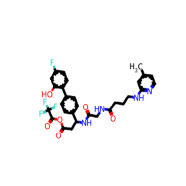 Cc1ccnc(NCCCC(=O)NCC(=O)NC(CC(=O)OC(=O)C(F)(F)F)c2ccc(-c3ccc(F)cc3O)cc2)c1